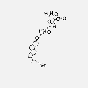 CC(C)CCCC(C)C1CCC2C1CCC1C3CC[C@H](OCCCNC(=O)CCC(=O)NC(C=O)CC(N)=O)CC3=CCC12